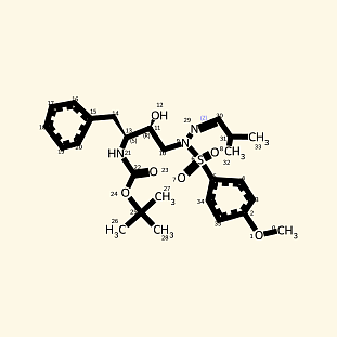 COc1ccc(S(=O)(=O)N(C[C@@H](O)[C@H](Cc2ccccc2)NC(=O)OC(C)(C)C)/N=C\C(C)C)cc1